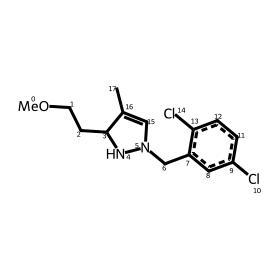 COCCC1NN(Cc2cc(Cl)ccc2Cl)C=C1C